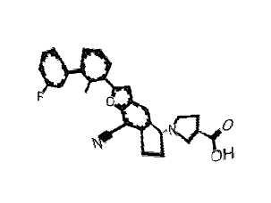 Cc1c(-c2cccc(F)c2)cccc1-c1cc2cc3c(c(C#N)c2o1)CC[C@H]3N1CC[C@@H](C(=O)O)C1